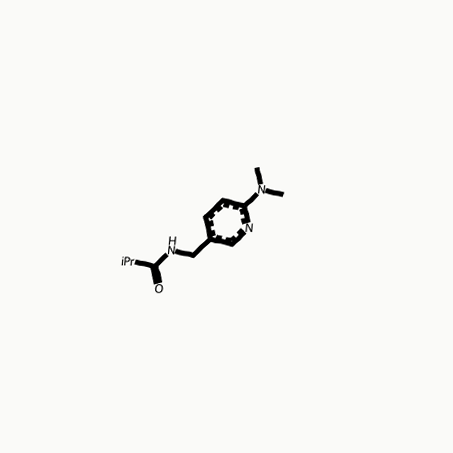 CC(C)C(=O)NCc1ccc(N(C)C)nc1